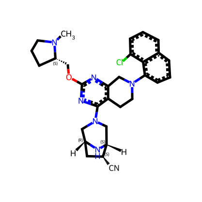 CN1CCC[C@H]1COc1nc2c(c(N3C[C@H]4C[C@H](C#N)[C@@H](C3)N4)n1)CCN(c1cccc3cccc(Cl)c13)C2